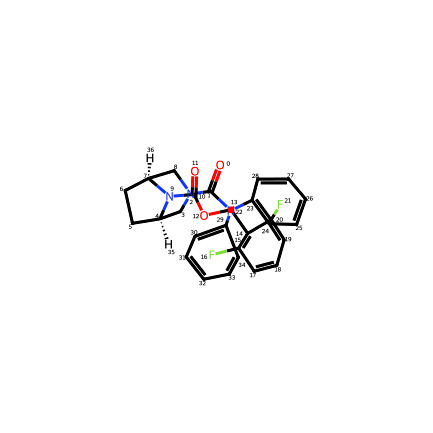 O=C(N1C[C@H]2CC[C@@H](C1)N2C(=O)OCc1c(F)cccc1F)N(c1ccccc1)c1ccccc1